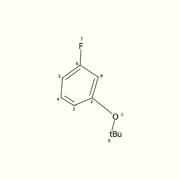 CC(C)(C)Oc1[c]ccc(F)c1